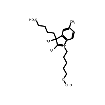 CC1=[N+](CCCCCOC=O)c2ccc(C)cc2C1(C)CCCCS(=O)(=O)O